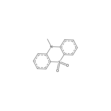 CN1c2ccccc2S(=O)(=O)c2ccccc21